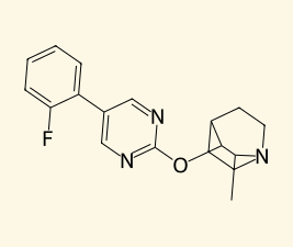 CC1C(Oc2ncc(-c3ccccc3F)cn2)C2CCN1CC2